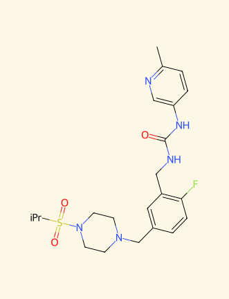 Cc1ccc(NC(=O)NCc2cc(CN3CCN(S(=O)(=O)C(C)C)CC3)ccc2F)cn1